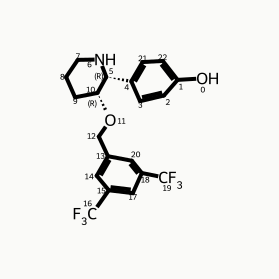 Oc1ccc([C@H]2NCCC[C@H]2OCc2cc(C(F)(F)F)cc(C(F)(F)F)c2)cc1